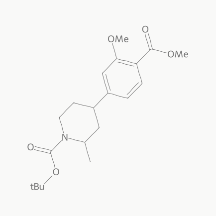 COC(=O)c1ccc(C2CCN(C(=O)OC(C)(C)C)C(C)C2)cc1OC